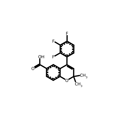 CC1(C)C=C(c2ccc(F)c(F)c2F)c2cc(C(=O)O)ccc2O1